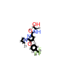 C[C@H](CO)NC(=O)c1ccc(Oc2ccc(C(F)(F)F)cc2)c(N2CC[C@H]2C)n1